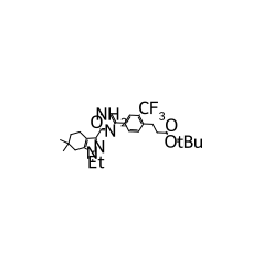 C=C(/N=C(\ON)c1nn(CC)c2c1CCC(C)(C)C2)c1ccc(CCC(=O)OC(C)(C)C)c(C(F)(F)F)c1